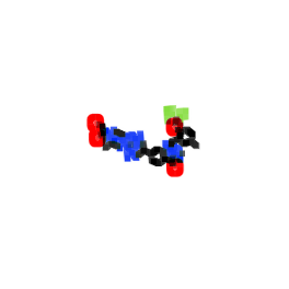 COCC(=O)N1CCN(c2ncc(-c3ccc4c(=O)n(C)n(Cc5cc(C)ccc5OC(F)F)c4c3)cn2)C[C@H]1C